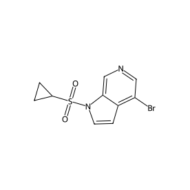 O=S(=O)(C1CC1)n1ccc2c(Br)cncc21